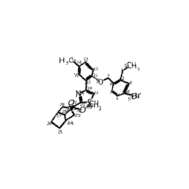 CCc1cc(Br)ccc1COc1ccc(C)cc1-c1csc(N2CC3CCC(C2)C3C(=O)OC)n1